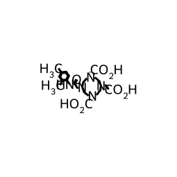 Cc1ccc(NC(=O)CN2CCN(CC(=O)O)CCN(CC(=O)O)CCN(CC(=O)O)CC2)c(C)c1